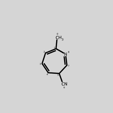 CC1=CC=CC(C#N)C=N1